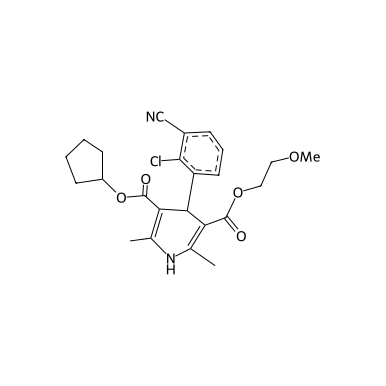 COCCOC(=O)C1=C(C)NC(C)=C(C(=O)OC2CCCC2)C1c1cccc(C#N)c1Cl